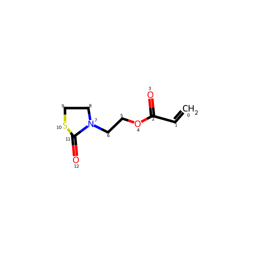 C=CC(=O)OCCN1CCSC1=O